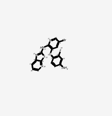 Nc1ccc(Oc2cc(Br)cnc2Nc2nc3cccnc3s2)c(F)c1